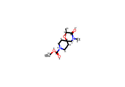 CCN1CC2(CCN(C(=O)OC(C)(C)C)CC2)O[C@@H](C)C1=O